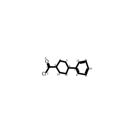 O=C(Cl)C1CCC(c2ccccc2)CC1